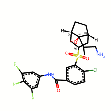 CC(CN)[C@@]1(O)[C@@H]2CC[C@H]1C[C@H](S(=O)(=O)c1cc(C(=O)Nc3cc(F)c(F)c(F)c3)ccc1Cl)C2